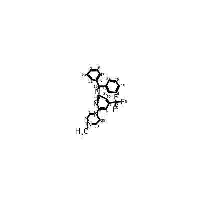 CN1CCN(c2cc(C(F)(F)F)cc(N=C(c3ccccc3)c3ccccc3)n2)CC1